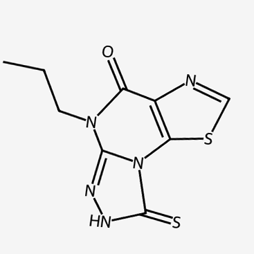 CCCn1c(=O)c2ncsc2n2c(=S)[nH]nc12